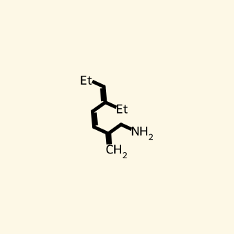 C=C(/C=C\C(=C/CC)CC)CN